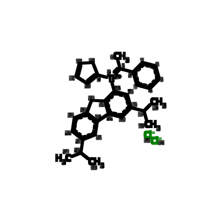 C/[C](c1ccccc1)=[Ti+2](\[C]1=CC=CC1)[c]1cc(C(C)C)cc2c1Cc1ccc(C(C)C)cc1-2.[Cl-].[Cl-]